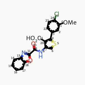 COc1cc(-c2scc(NC(=O)c3nc4ccccc4o3)c2C(=O)O)ccc1Cl